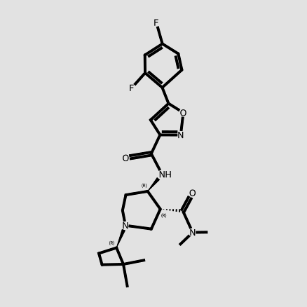 CN(C)C(=O)[C@@H]1CN([C@@H]2CCC2(C)C)CC[C@H]1NC(=O)c1cc(-c2ccc(F)cc2F)on1